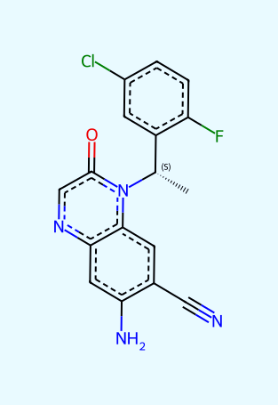 C[C@@H](c1cc(Cl)ccc1F)n1c(=O)cnc2cc(N)c(C#N)cc21